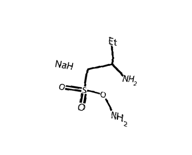 CCC(N)CS(=O)(=O)ON.[NaH]